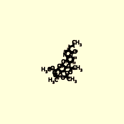 CCCc1cnc2c(O[C@@H]3OC(C(=O)OC)[C@@H](OC(C)=O)C(OC(C)=O)C3OC(C)=O)cccn2c1=O